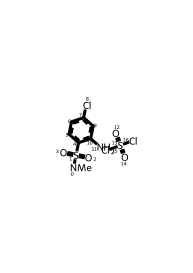 CNS(=O)(=O)c1ccc(Cl)cc1N.O=S(=O)(Cl)Cl